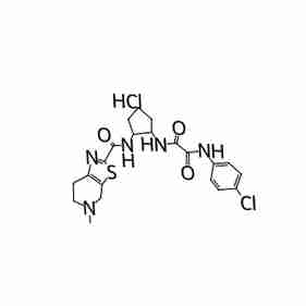 CN1CCc2nc(C(=O)NC3CCCC3NC(=O)C(=O)Nc3ccc(Cl)cc3)sc2C1.Cl